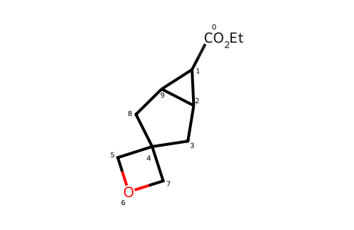 CCOC(=O)C1C2CC3(COC3)CC21